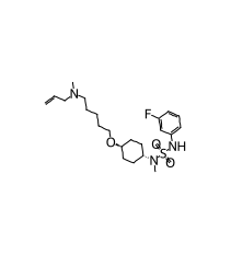 C=CCN(C)CCCCCO[C@H]1CC[C@H](N(C)S(=O)(=O)Nc2cccc(F)c2)CC1